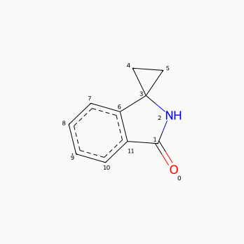 O=C1NC2(CC2)c2cc[c]cc21